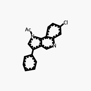 CC(=O)n1cc(-c2ccccc2)c2cnc3cc(Cl)ccc3c21